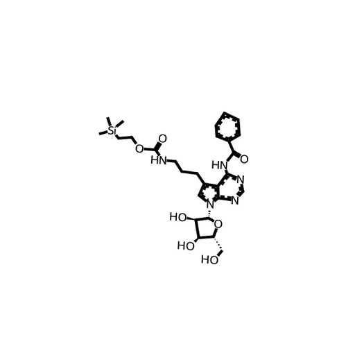 C[Si](C)(C)CCOC(=O)NCCCc1cn([C@@H]2O[C@H](CO)[C@@H](O)[C@H]2O)c2ncnc(NC(=O)c3ccccc3)c12